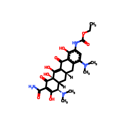 CCOC(=O)Nc1cc(N(C)C)c2c(c1O)C(=O)C1=C(O)[C@]3(O)C(=O)C(C(N)=O)=C(O)[C@@H](N(C)C)[C@H]3C[C@@H]1C2